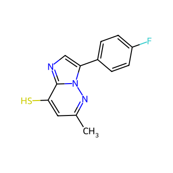 Cc1cc(S)c2ncc(-c3ccc(F)cc3)n2n1